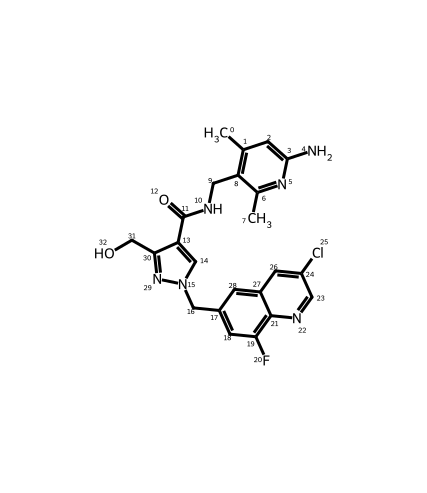 Cc1cc(N)nc(C)c1CNC(=O)c1cn(Cc2cc(F)c3ncc(Cl)cc3c2)nc1CO